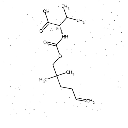 C=CCCC(C)(C)COC(=O)N[C@H](C(=O)O)C(C)C